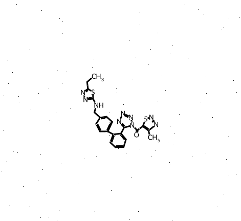 CCc1nnc(NCc2ccc(-c3ccccc3-c3nnnn3C(=O)c3snnc3C)cc2)s1